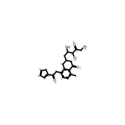 CCCC(CC1CC(=O)c2c(C)ccc(CC(=O)C3=CC=CC3)c2C1)C(CC)C(=O)CC(C)=O